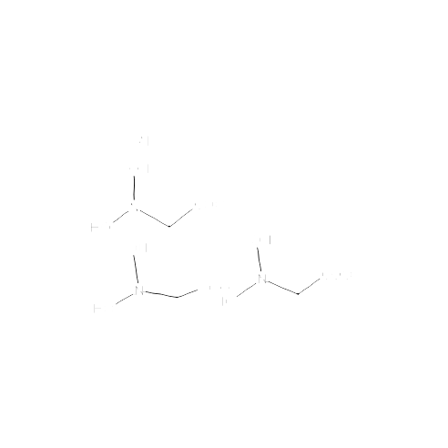 O=C([O-])CN(O)O.O=C([O-])CN(O)O.O=C([O-])CN(O)O.[Al+3]